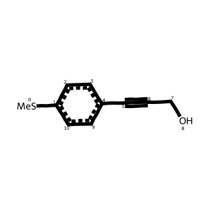 CSc1ccc(C#CCO)cc1